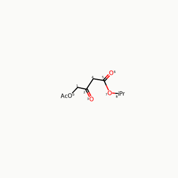 CC(=O)OCC(=O)CC(=O)OC(C)C